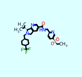 CCS(=O)(=O)c1ccc(CNC(=O)c2cnc3c(c2)CN(CC2CCC(C(F)(F)F)CC2)[C@@H]3C(C)C)nc1